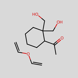 C=COC=C.CC(=O)C1CCCCC1(CO)CO